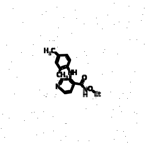 CCONC(=O)c1ccncc1Nc1ccc(C)cc1C